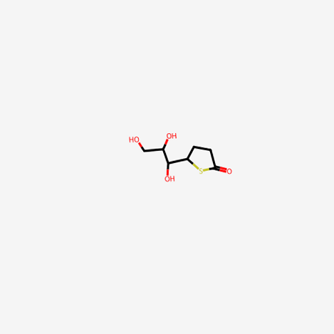 O=C1CCC(C(O)C(O)CO)S1